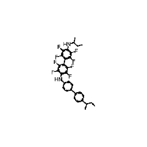 CCC(C)Nc1c(F)c(F)c(-c2c(F)c(F)c(Nc3ccc(-c4ccc(C(C)CC)cc4)cc3)c(F)c2F)c(F)c1F